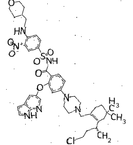 C=C(CCCl)C1=C(CN2CCN(c3ccc(C(=O)NS(=O)(=O)c4ccc(NCC5CCOCC5)c([N+](=O)[O-])c4)c(Oc4cnc5[nH]ccc5c4)c3)CC2)CCC(C)(C)C1